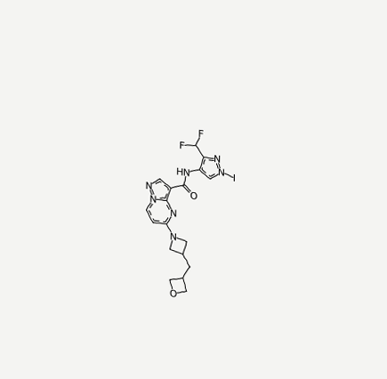 O=C(Nc1cn(I)nc1C(F)F)c1cnn2ccc(N3CC(CC4COC4)C3)nc12